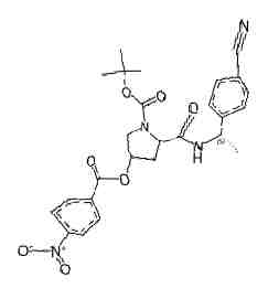 C[C@H](NC(=O)C1CC(OC(=O)c2ccc([N+](=O)[O-])cc2)CN1C(=O)OC(C)(C)C)c1ccc(C#N)cc1